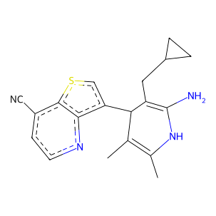 CC1=C(C)C(c2csc3c(C#N)ccnc23)C(CC2CC2)=C(N)N1